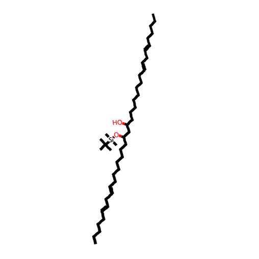 CCCCCC=CCC=CCCCCCCCCC(O)CC(CCCCCCCC=CCC=CCCCCC)O[Si](C)(C)C(C)(C)C